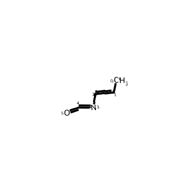 CC=CN=C=O